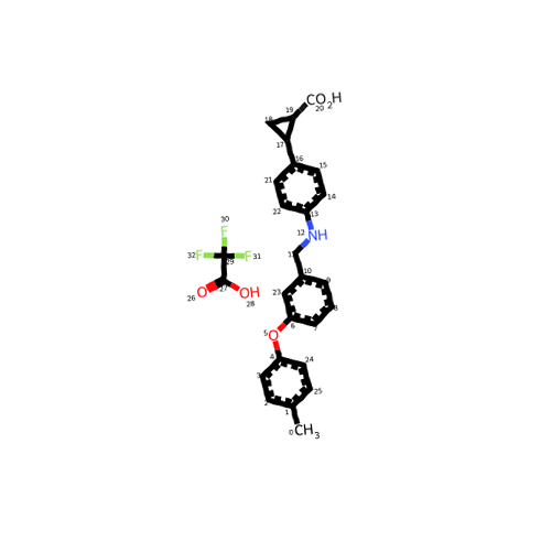 Cc1ccc(Oc2cccc(CNc3ccc(C4CC4C(=O)O)cc3)c2)cc1.O=C(O)C(F)(F)F